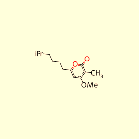 COc1cc(CCCCC(C)C)oc(=O)c1C